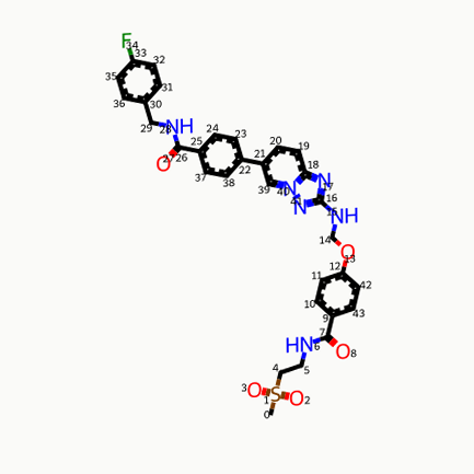 CS(=O)(=O)CCNC(=O)c1ccc(OCNc2nc3ccc(-c4ccc(C(=O)NCc5ccc(F)cc5)cc4)cn3n2)cc1